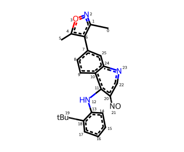 Cc1noc(C)c1-c1ccc2c(Nc3ccccc3C(C)(C)C)c(N=O)cnc2c1